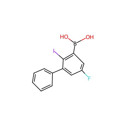 OB(O)c1cc(F)cc(-c2ccccc2)c1I